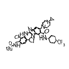 Cn1c(Nc2c(Cl)ccc(CNC(=O)C(C)(C)C)c2Cl)nc2cc(C(=O)N[C@H]3CC[C@H](C(F)(F)F)CC3)c(N3CCN(C4CC4)CC3)cc21